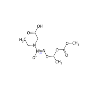 CCN(CC(=O)O)/[N+]([O-])=N/OC(C)OC(=O)OC